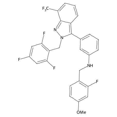 COc1ccc(CNc2cccc(-c3c4cccc(C(F)(F)F)c4nn3Cc3c(F)cc(F)cc3F)c2)c(F)c1